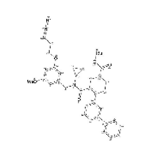 COc1cc(CN(C(=O)C2=C(c3cccc(-c4ccccc4)c3)CCN(C(=O)OC(C)(C)C)C2)C2CC2)cc(OCCN=[N+]=[N-])c1